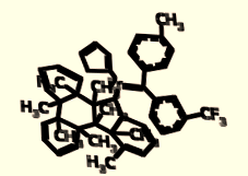 CC1=CC=CC2[CH]([Zr]([C]3=CC=CC3)=[C](c3ccc(C)cc3)c3cccc(C(F)(F)F)c3)C3(C)C4(C)C=CC=CC4(C)C4(C)C=CC=CC4(C)C3(C)C12C